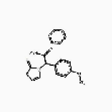 CNC(=O)C(c1ccc(OC(F)(F)F)cc1)N1C=CCC1=O.c1ccncc1